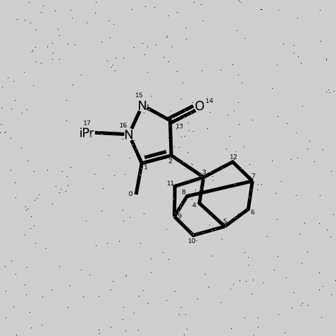 CC1=C(C23CC4CC(CC(C4)C2)C3)C(=O)[N]N1C(C)C